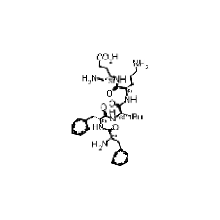 CCCC[C@@H](NC(=O)[C@@H](Cc1ccccc1)NC(=O)[C@H](N)Cc1ccccc1)C(=O)N[C@H](CCCN)C(=O)N[C@H](CN)CCC(=O)O